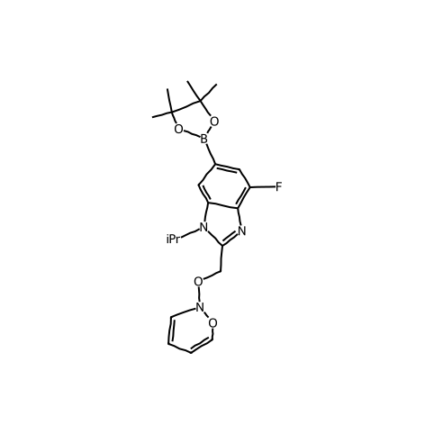 CC(C)n1c(CON2C=CC=CO2)nc2c(F)cc(B3OC(C)(C)C(C)(C)O3)cc21